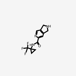 O=C(NC1(C(F)(F)F)CC1)c1cc2c(cn1)CNC2